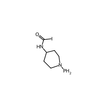 O=C(I)NC1CCN(P)CC1